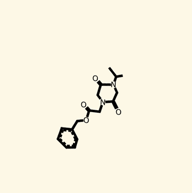 CC(C)N1CC(=O)N(CC(=O)OCc2ccccc2)CC1=O